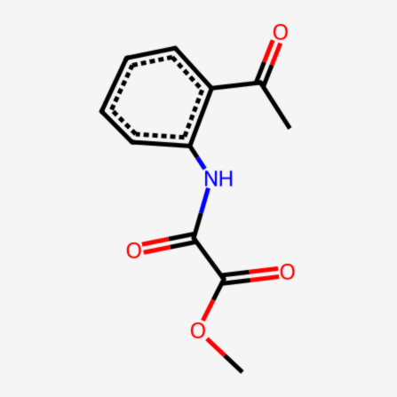 COC(=O)C(=O)Nc1ccccc1C(C)=O